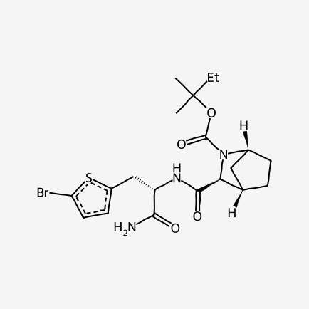 CCC(C)(C)OC(=O)N1[C@@H]2CC[C@@H](C2)[C@H]1C(=O)N[C@@H](Cc1ccc(Br)s1)C(N)=O